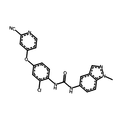 Cn1ncc2cc(NC(=O)Nc3ccc(Oc4ccnc(C#N)c4)cc3Cl)ccc21